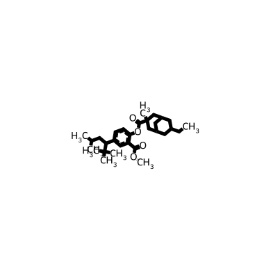 CCC1CC2CC(C1)CC(C)(C(=O)Oc1ccc(C(CC(C)C)C(C)(C)C)cc1C(=O)OC)C2